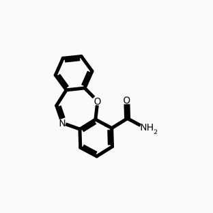 NC(=O)c1cccc2c1Oc1ccccc1C=N2